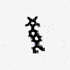 CC1=C(C)N(C)C(=c2ccc3c/c(=C(/C#N)C=N)ccc3c2)N1C